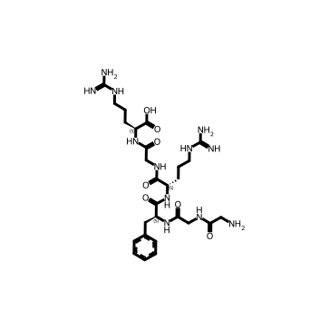 N=C(N)NCCC[C@H](NC(=O)CNC(=O)[C@H](CCCNC(=N)N)NC(=O)[C@H](Cc1ccccc1)NC(=O)CNC(=O)CN)C(=O)O